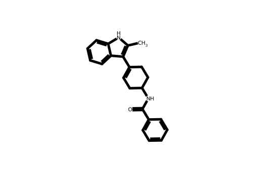 Cc1[nH]c2ccccc2c1C1=CCC(NC(=O)c2ccccc2)CC1